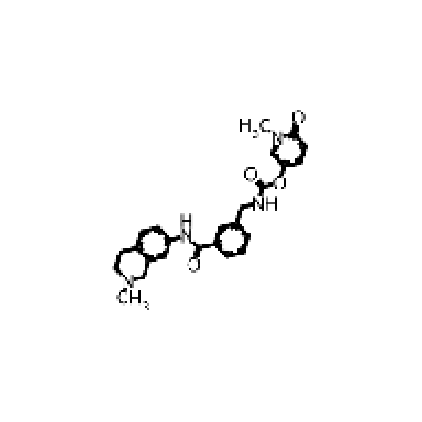 CN1CCc2ccc(NC(=O)c3cccc(CNC(=O)Oc4ccc(=O)n(C)c4)c3)cc2C1